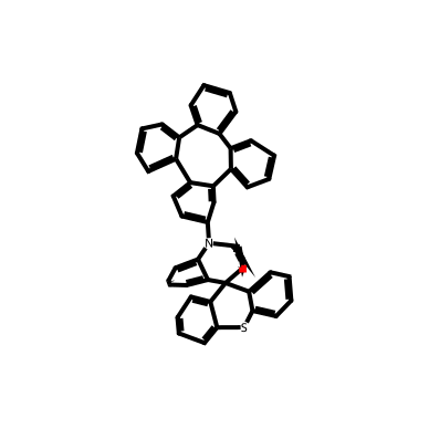 c1ccc2c(c1)Sc1ccccc1C21c2ccccc2N(c2ccc3c(c2)-c2ccccc2-c2ccccc2-c2ccccc2-3)c2ccccc21